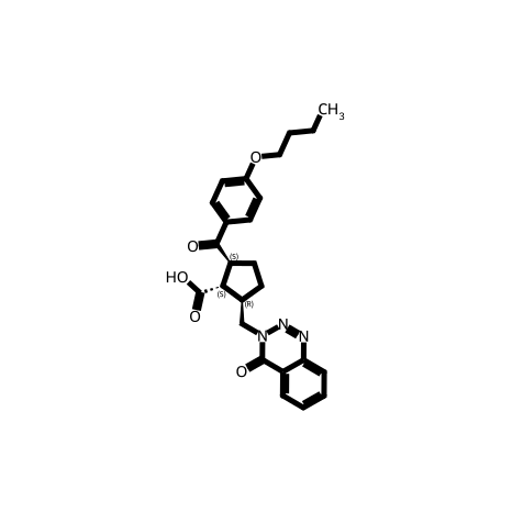 CCCCOc1ccc(C(=O)[C@H]2CC[C@@H](Cn3nnc4ccccc4c3=O)[C@@H]2C(=O)O)cc1